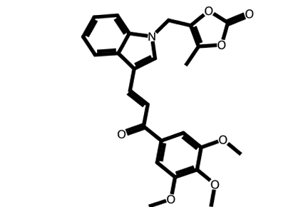 COc1cc(C(=O)C=Cc2cn(Cc3oc(=O)oc3C)c3ccccc23)cc(OC)c1OC